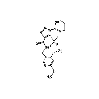 COc1ccc(CNC(=O)c2cnn(-c3ncccn3)c2C(F)(F)F)c(OC)c1